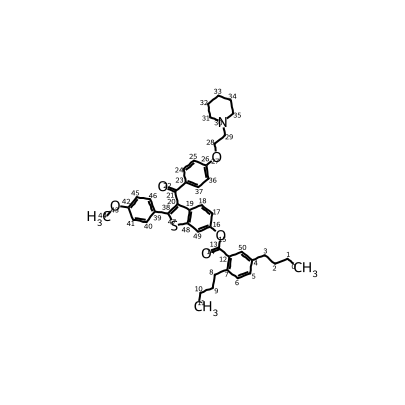 CCCCc1ccc(CCCC)c(C(=O)Oc2ccc3c(C(=O)c4ccc(OCCN5CCCCC5)cc4)c(-c4ccc(OC)cc4)sc3c2)c1